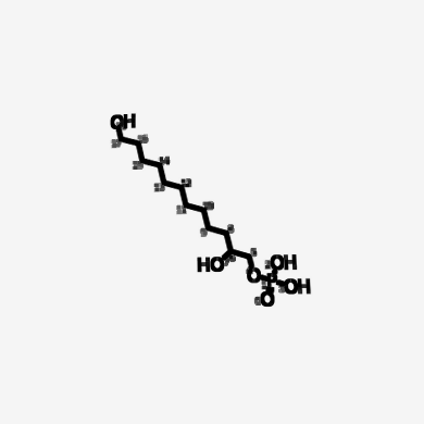 O=P(O)(O)OCC(O)CCCCCCCCCCO